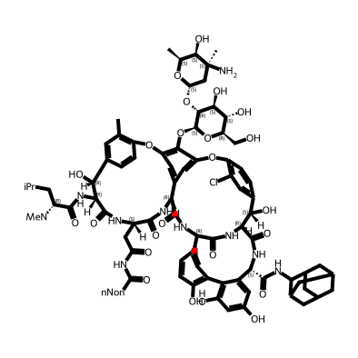 CCCCCCCCCC(=O)NC(=O)C[C@@H]1NC(=O)[C@H](NC(=O)[C@@H](CC(C)C)NC)[C@H](O)c2ccc(c(C)c2)Oc2cc3cc(c2O[C@@H]2O[C@H](CO)[C@@H](O)[C@H](O)[C@H]2O[C@H]2C[C@](C)(N)[C@H](O)[C@H](C)O2)Oc2ccc(cc2Cl)[C@H](O)[C@H]2NC(=O)[C@H](NC(=O)[C@@H]3NC1=O)c1ccc(O)c(c1)-c1c(O)cc(O)cc1[C@@H](C(=O)NC1C3CC4CC(C3)CC1C4)NC2=O